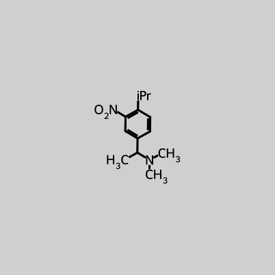 CC(C)c1ccc(C(C)N(C)C)cc1[N+](=O)[O-]